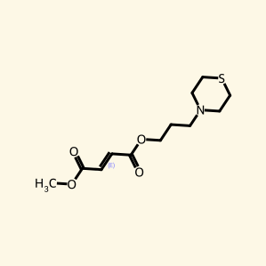 COC(=O)/C=C/C(=O)OCCCN1CCSCC1